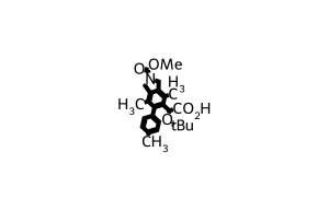 COC(=O)N1Cc2c(C)c(-c3ccc(C)cc3)c(C(OC(C)(C)C)C(=O)O)c(C)c2C1